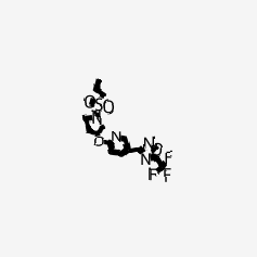 CCCS(=O)(=O)N1CCC(Oc2ccc(-c3noc(C(F)(F)F)n3)cn2)C1